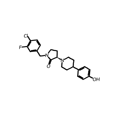 O=C1[C@H](N2CCC(c3ccc(O)cc3)CC2)CCN1Cc1ccc(Cl)c(F)c1